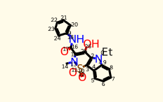 CCn1c2c(c3ccccc31)S(=O)(=O)N(C)C(C(=O)Nc1ccccc1)=C2O